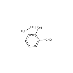 CC(=O)O.O=Cc1ccccc1O